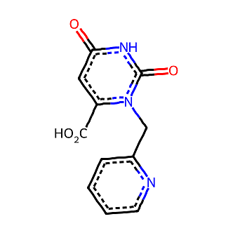 O=C(O)c1cc(=O)[nH]c(=O)n1Cc1ccccn1